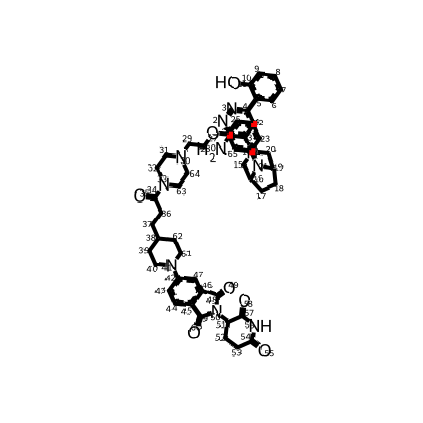 Nc1nnc(-c2ccccc2O)cc1N1CC2CCC(C1)N2c1cccc(OCCN2CCN(C(=O)CCC3CCN(c4ccc5c(c4)C(=O)N(C4CCC(=O)NC4=O)C5=O)CC3)CC2)c1